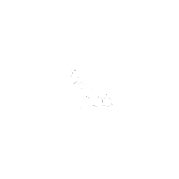 CC(=Cc1ccc(F)cc1F)CNC1CCCN(C(=O)OC(C)(C)C)C1